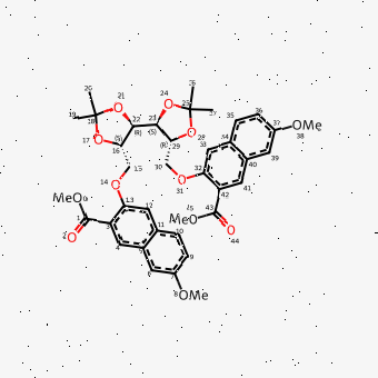 COC(=O)c1cc2cc(OC)ccc2cc1OC[C@@H]1OC(C)(C)O[C@H]1[C@H]1OC(C)(C)O[C@@H]1COc1cc2ccc(OC)cc2cc1C(=O)OC